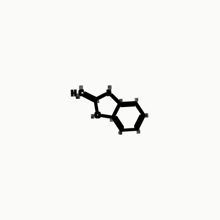 C=C1Oc2ccccc2S1